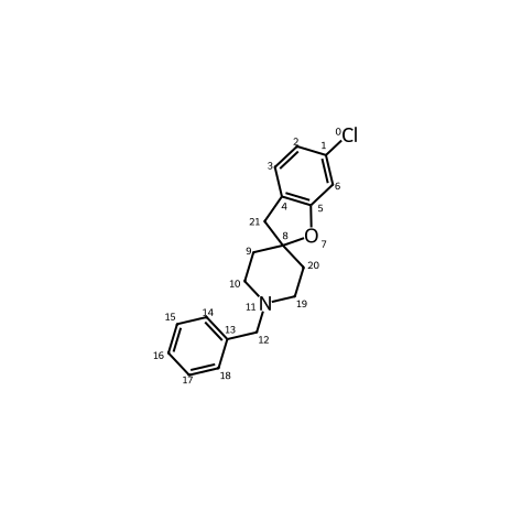 Clc1ccc2c(c1)OC1(CCN(Cc3ccccc3)CC1)C2